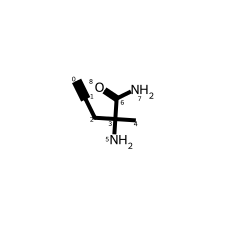 C#CCC(C)(N)C(N)=O